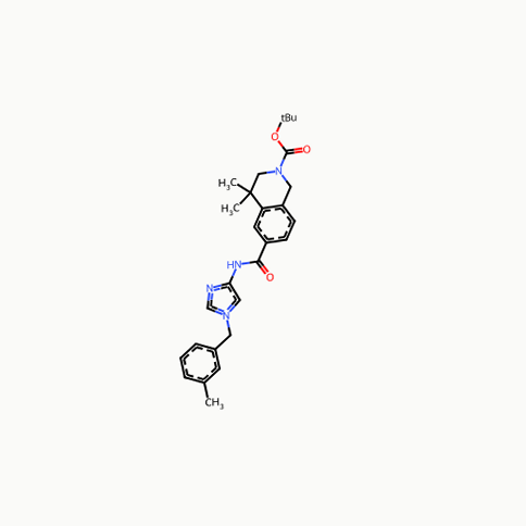 Cc1cccc(Cn2cnc(NC(=O)c3ccc4c(c3)C(C)(C)CN(C(=O)OC(C)(C)C)C4)c2)c1